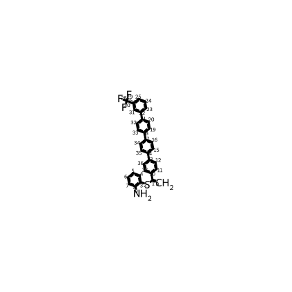 C=C(Sc1ccccc1N)c1ccc(-c2ccc(-c3ccc(-c4cccc(C(F)(F)F)c4)cc3)cc2)cc1